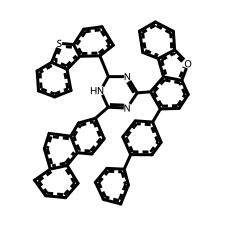 c1ccc(-c2ccc(-c3ccc4oc5ccccc5c4c3C3=NC(c4cccc5sc6ccccc6c45)NC(c4ccc5c(ccc6ccccc65)c4)=N3)cc2)cc1